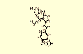 Nc1nc(N)c2c(n1)CCC2CCc1ccc(C(=O)O)cc1